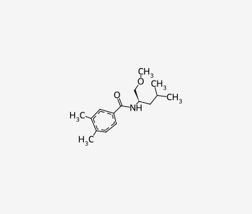 COC[C@@H](CC(C)C)NC(=O)c1ccc(C)c(C)c1